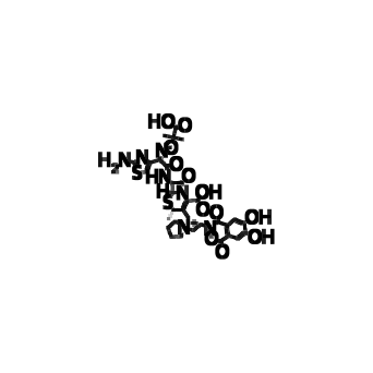 C[C@@H]1S[C@@H]2[C@H](NC(=O)/C(=N\OC(C)(C)C(=O)O)c3csc(N)n3)C(=O)N2C(C(=O)O)=C1C[N+]1(CCn2oc(=O)c3cc(O)c(O)cc3c2=O)CCCC1